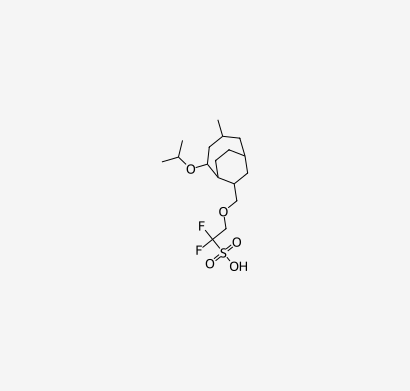 CC1CC2CCC(C(COCC(F)(F)S(=O)(=O)O)C2)C(OC(C)C)C1